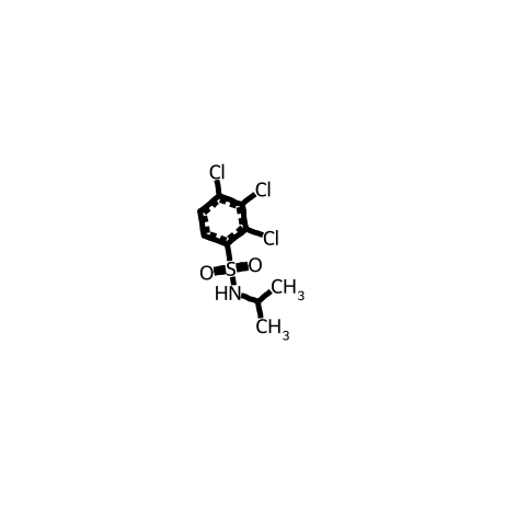 CC(C)NS(=O)(=O)c1ccc(Cl)c(Cl)c1Cl